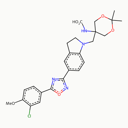 COc1ccc(-c2nc(-c3ccc4c(c3)CCN4CC3(NC(=O)O)COC(C)(C)OC3)no2)cc1Cl